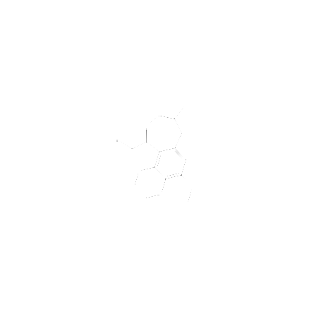 COc1cc2c(c(OC)c1OC)C(CBr)OCC(C)C2